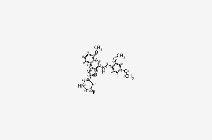 COc1ccc(CNc2nc3c(OC)cccc3c3nc(C4CNCC(F)C4)nn23)c(OC)c1